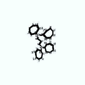 C1CCCC(P(CCCP(C2CCCCCC2)C2CCCCCC2)C2CCCCCC2)CC1